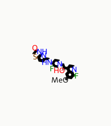 COc1cc(F)c2nccc([C@H](O)CN3CCC(NCc4ccc5c(n4)NC(=O)CS5)C(F)C3)c2c1